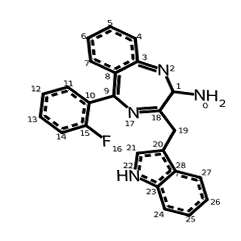 NC1N=c2ccccc2=C(c2ccccc2F)N=C1Cc1c[nH]c2ccccc12